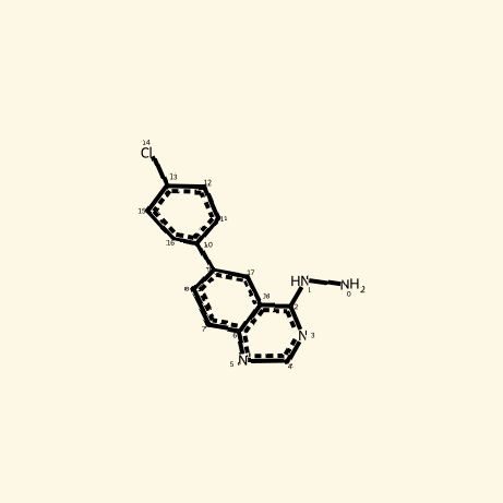 NNc1ncnc2ccc(-c3ccc(Cl)cc3)cc12